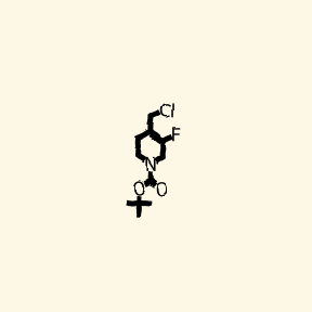 CC(C)(C)OC(=O)N1CCC(CCl)=C(F)C1